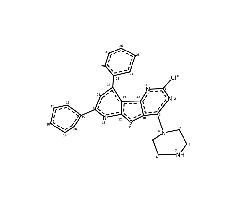 Clc1nc(N2CCNCC2)c2sc3nc(-c4ccccc4)cc(-c4ccccc4)c3c2n1